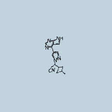 C[C@H]1C[C@@H]([C@@H](CC#N)n2cc(-c3ncnc4[nH]ccc34)cn2)C1